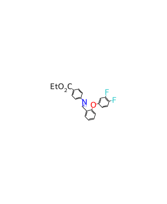 CCOC(=O)c1ccc(/N=C/c2ccccc2Oc2ccc(F)c(F)c2)cc1